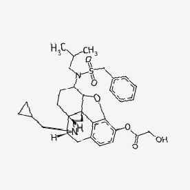 CC(C)CN(C1CC[C@H]2[C@H]3Cc4ccc(OC(=O)CO)c5c4[C@@]2(CCN3CC2CC2)C1O5)S(=O)(=O)Cc1ccccc1